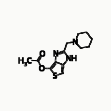 CC(=O)Oc1scc2[nH]c(CN3CCCCC3)nc12